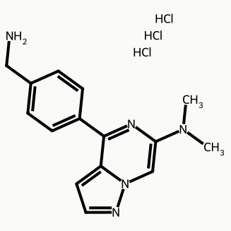 CN(C)c1cn2nccc2c(-c2ccc(CN)cc2)n1.Cl.Cl.Cl